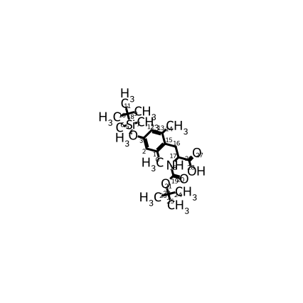 Cc1cc(O[Si](C)(C)C(C)(C)C)cc(C)c1CC(NC(=O)OC(C)(C)C)C(=O)O